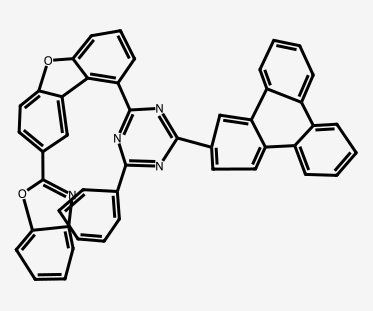 c1ccc(-c2nc(-c3ccc4c5ccccc5c5ccccc5c4c3)nc(-c3cccc4oc5ccc(-c6nc7ccccc7o6)cc5c34)n2)cc1